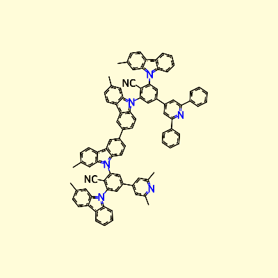 Cc1ccc2c3ccccc3n(-c3cc(-c4cc(C)nc(C)c4)cc(-n4c5ccc(-c6ccc7c(c6)c6ccc(C)cc6n7-c6cc(-c7cc(-c8ccccc8)nc(-c8ccccc8)c7)cc(-n7c8ccccc8c8ccc(C)cc87)c6C#N)cc5c5ccc(C)cc54)c3C#N)c2c1